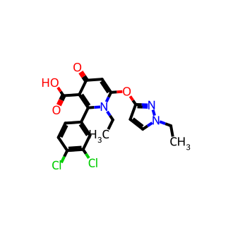 CCn1ccc(Oc2cc(=O)c(C(=O)O)c(-c3ccc(Cl)c(Cl)c3)n2CC)n1